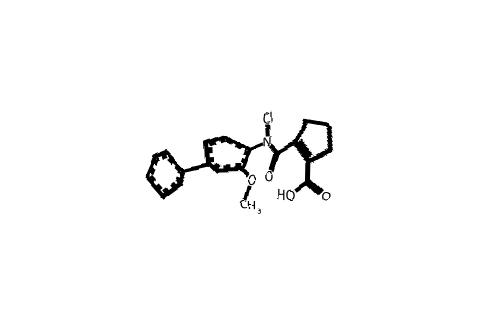 COc1cc(-c2ccccc2)ccc1N(Cl)C(=O)C1=C(C(=O)O)CCC1